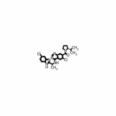 CC(C)[C@@H]1CCCN1C(=O)c1cc2ncnc(N[C@@H](C)c3nc4cc(Cl)ccc4[nH]3)c2cc1Cl